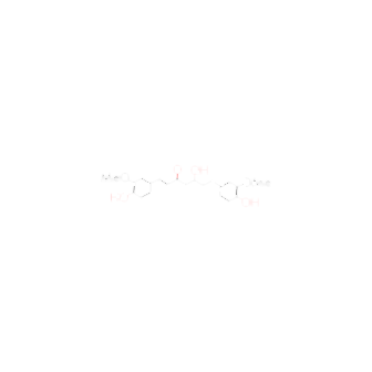 COc1cc(C=CC(=O)CC(O)CCc2ccc(O)c(OC)c2)ccc1O